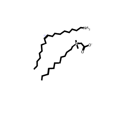 CCCCCCCC/C=C\CCCCCCCCN.CCCCCCCCCCCC[N+](C)(C)CC(=O)[O-]